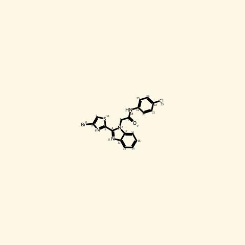 O=C(Cn1c(-c2nc(Br)cs2)nc2ccccc21)Nc1ccc(Cl)cc1